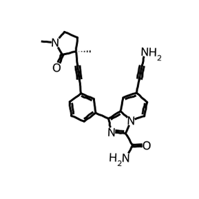 CN1CC[C@@](C)(C#Cc2cccc(-c3nc(C(N)=O)n4ccc(C#CN)cc34)c2)C1=O